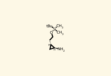 CC(C)(C)[Si](C)(C)OCC[C@H]1C[C@@H]1N